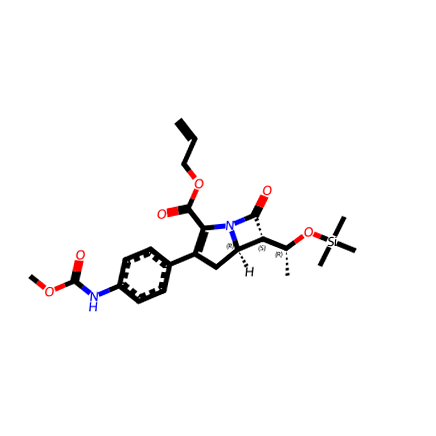 C=CCOC(=O)C1=C(c2ccc(NC(=O)OC)cc2)C[C@@H]2[C@@H]([C@@H](C)O[Si](C)(C)C)C(=O)N12